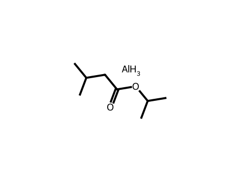 CC(C)CC(=O)OC(C)C.[AlH3]